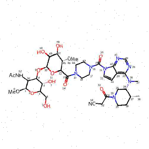 CO[C@@H]1OC(CO)[C@@H](O)C(O[C@@H]2OC(C(=O)N3CCN(C(=O)n4ccc5c(N(C)[C@H]6CN(C(=O)CC#N)CC[C@H]6C)ncnc54)CC3)[C@@H](OC)C(O)C2O)C1NC(C)=O